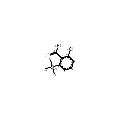 [CH2]CC(=O)c1c(Cl)cccc1[Si](C)(C)C